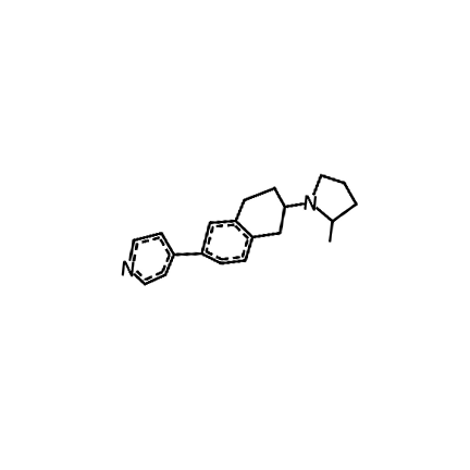 CC1CCCN1C1CCc2cc(-c3ccncc3)ccc2C1